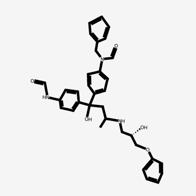 CC(CC(O)(c1ccc(NC=O)cc1)c1ccc(N(C=O)Cc2ccccc2)cc1)NC[C@H](O)COc1ccccc1